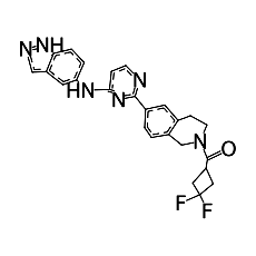 O=C(C1CC(F)(F)C1)N1CCc2cc(-c3nccc(Nc4ccc5[nH]ncc5c4)n3)ccc2C1